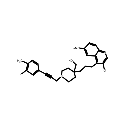 COc1ccc2ncc(Cl)c(CCCC3(CO)CCN(CC#Cc4ccc(C)c(F)c4)CC3)c2c1